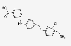 NCc1ccc(CCc2ccc(Nc3cccc(C(=O)O)c3)cc2)cc1Cl